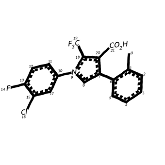 Cc1ccccc1-c1cn(-c2ccc(F)c(Cl)c2)c(C(F)(F)F)c1C(=O)O